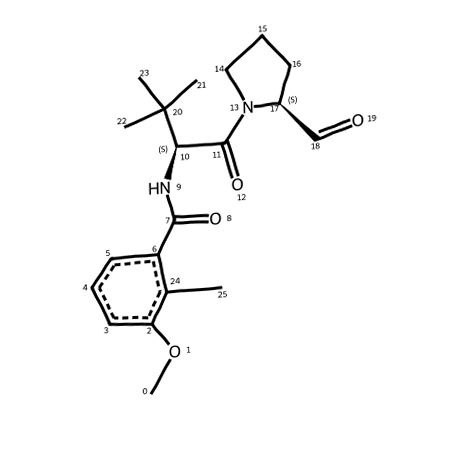 COc1cccc(C(=O)N[C@H](C(=O)N2CCC[C@H]2C=O)C(C)(C)C)c1C